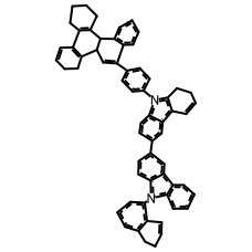 C1=CC2=C(CC1)C1C=C(c3ccc(-n4c5c(c6cc(-c7ccc8c(c7)c7ccccc7n8-c7cccc8c7C=CCC8)ccc64)C=CCC5)cc3)c3ccccc3C1C1=C2CCCC1